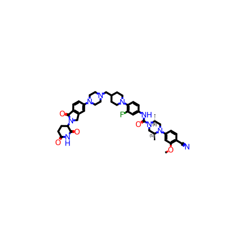 COc1cc(N2C[C@@H](C)N(C(=O)Nc3ccc(N4CCC(CN5CCN(c6ccc7c(c6)CN(C6CCC(=O)NC6=O)C7=O)CC5)CC4)c(F)c3)C[C@@H]2C)ccc1C#N